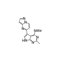 CNc1nc(C)nc2[nH]cc(-c3ccn4nccc4n3)c12